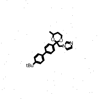 CC1CCOC(Cn2ccnc2)(c2ccc(-c3ccc(C(C)(C)C)cc3)cc2)O1